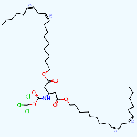 CCCCC/C=C\C/C=C\CCCCCCCCOC(=O)CC(CC(=O)OCCCCCCCC/C=C\C/C=C\CCCCC)NC(=O)OC(Cl)(Cl)Cl